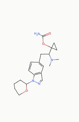 CN(C)C(Cc1ccc2c(cnn2C2CCCCO2)c1)C1(OC(N)=O)CC1